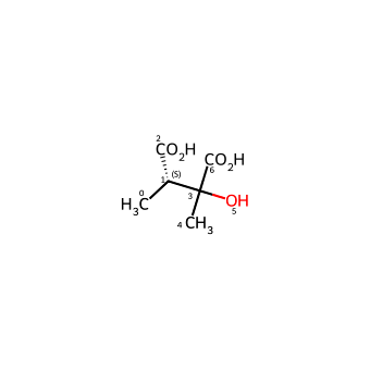 C[C@H](C(=O)O)C(C)(O)C(=O)O